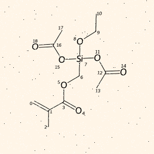 C=C(C)C(=O)OC[Si](OCC)(OC(C)=O)OC(C)=O